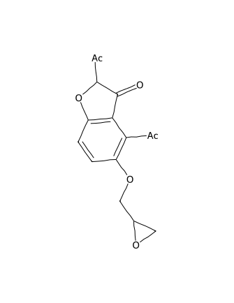 CC(=O)c1c(OCC2CO2)ccc2c1C(=O)C(C(C)=O)O2